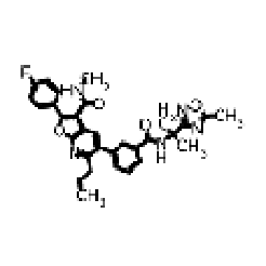 CCCc1nc2oc(-c3ccc(F)cc3)c(C(=O)NC)c2cc1-c1cccc(C(=O)NC(C)(C)c2noc(C)n2)c1